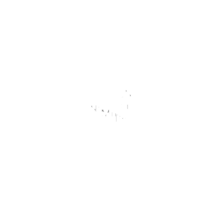 [BeH2].[Cr].[Mn].[Nb].[Ni]